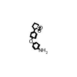 Nc1ccc(Oc2ccc(C3CCCS3(=O)=O)cc2)cc1